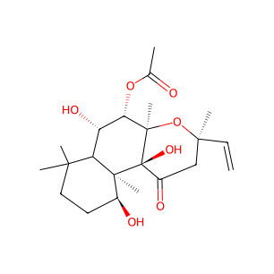 C=C[C@@]1(C)CC(=O)[C@@]2(O)[C@](C)(O1)[C@@H](OC(C)=O)[C@@H](O)C1C(C)(C)CC[C@H](O)[C@@]12C